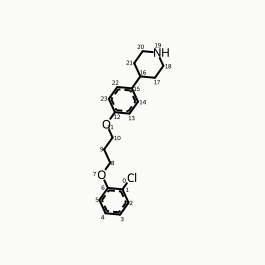 Clc1ccccc1OCCCOc1ccc(C2CCNCC2)cc1